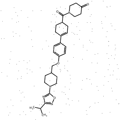 CC(C)c1noc(N2CCC(COc3ccc(C4=CCC(C(=O)N5CCC(=O)CC5)CC4)cc3)CC2)n1